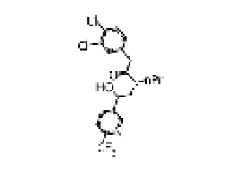 CCCN(CC(O)c1ccc(C(F)(F)F)nc1)C(=O)Cc1ccc(Cl)c(Cl)c1